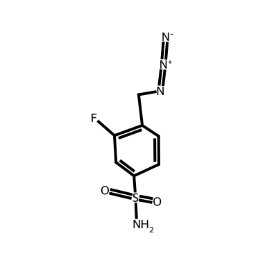 [N-]=[N+]=NCc1ccc(S(N)(=O)=O)cc1F